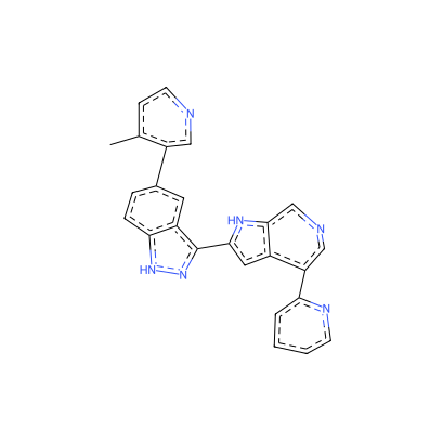 Cc1ccncc1-c1ccc2[nH]nc(-c3cc4c(-c5ccccn5)cncc4[nH]3)c2c1